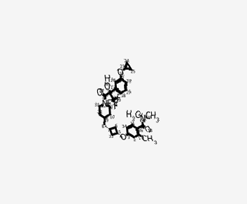 Cc1cc(O[C@H]2C[C@@H](CC3CCN(C(=O)C(O)(c4cccc(OC5CC5)c4)C(F)(F)F)CC3)C2)ccc1C(=O)N(C)C